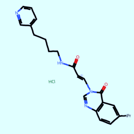 CC(C)c1ccc2ncn(/C=C/C(=O)NCCCCc3cccnc3)c(=O)c2c1.Cl